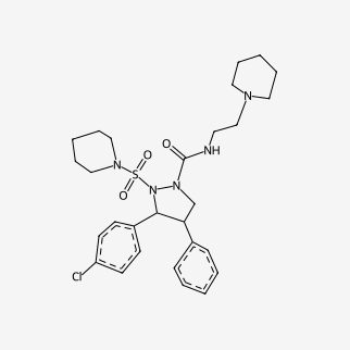 O=C(NCCN1CCCCC1)N1CC(c2ccccc2)C(c2ccc(Cl)cc2)N1S(=O)(=O)N1CCCCC1